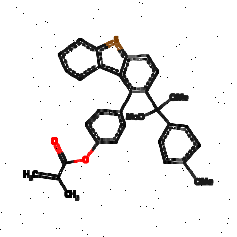 C=C(C)C(=O)Oc1ccc(-c2c(C(OC)(OC)c3ccc(OC)cc3)ccc3sc4ccccc4c23)cc1